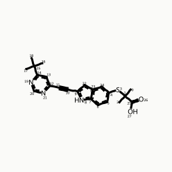 CC(C)(Sc1ccc2[nH]c(C#Cc3cc(C(C)(C)C)ncn3)cc2c1)C(=O)O